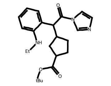 CCNc1ccccc1C(C(=O)n1ccnc1)C1CCC(C(=O)OC(C)(C)C)C1